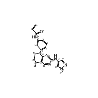 C=CC(=O)Nc1cccc(N2CCC(C)c3cnc(Nc4cnn(C)c4)nc32)c1